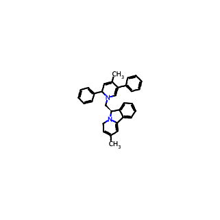 CC1=CCN2C(=C1)c1ccccc1[C@@H]2CN1C=C(c2ccccc2)C(C)=CC1c1ccccc1